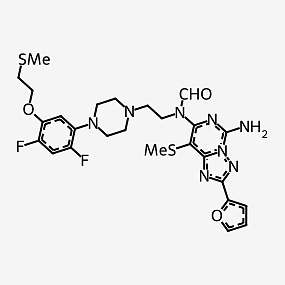 CSCCOc1cc(N2CCN(CCN(C=O)c3nc(N)n4nc(-c5ccco5)nc4c3SC)CC2)c(F)cc1F